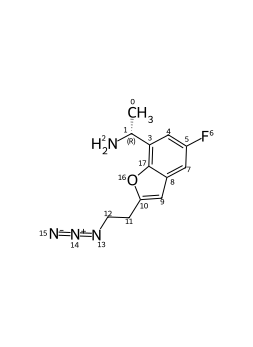 C[C@@H](N)c1cc(F)cc2cc(CCN=[N+]=[N-])oc12